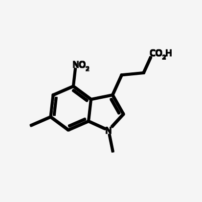 Cc1cc([N+](=O)[O-])c2c(CCC(=O)O)cn(C)c2c1